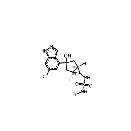 CCNS(=O)(=O)NC1[C@H]2CC(O)(c3cc(Cl)cc4[nH]ncc34)C[C@@H]12